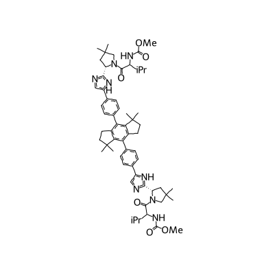 COC(=O)NC(C(=O)N1CC(C)(C)C[C@H]1c1ncc(-c2ccc(-c3c4c(c(-c5ccc(-c6cnc([C@@H]7CC(C)(C)CN7C(=O)C(NC(=O)OC)C(C)C)[nH]6)cc5)c5c3C(C)(C)CC5)C(C)(C)CC4)cc2)[nH]1)C(C)C